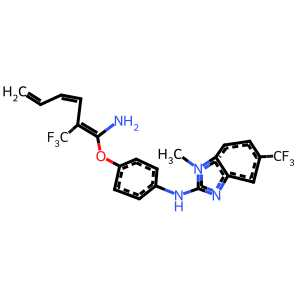 C=C/C=C\C(=C(/N)Oc1ccc(Nc2nc3cc(C(F)(F)F)ccc3n2C)cc1)C(F)(F)F